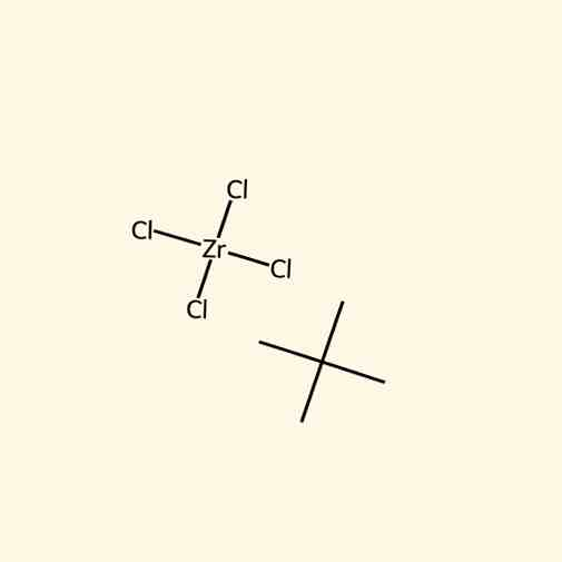 CC(C)(C)C.[Cl][Zr]([Cl])([Cl])[Cl]